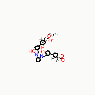 CC(=O)[O-].CC(=O)[O-].Oc1ccc(-c2ccccc2)cc1C=Nc1ccccc1N=Cc1cc(-c2ccccc2)ccc1O.[Co+2]